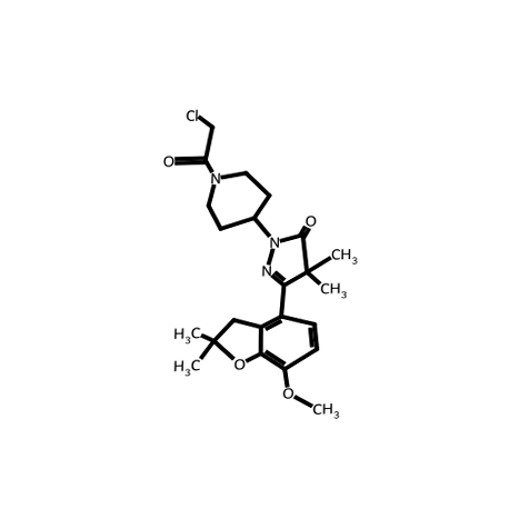 COc1ccc(C2=NN(C3CCN(C(=O)CCl)CC3)C(=O)C2(C)C)c2c1OC(C)(C)C2